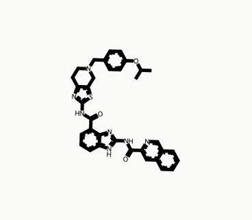 CC(C)Oc1ccc(CN2CCc3nc(NC(=O)c4cccc5[nH]c(NC(=O)c6cc7ccccc7cn6)nc45)sc3C2)cc1